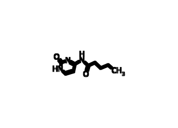 CCCCC(=O)Nc1cc[nH]c(=O)n1